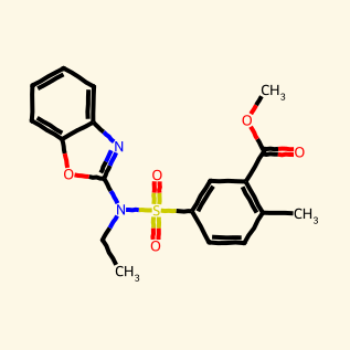 CCN(c1nc2ccccc2o1)S(=O)(=O)c1ccc(C)c(C(=O)OC)c1